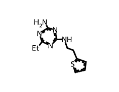 CCc1nc(N)nc(NCCc2cccs2)n1